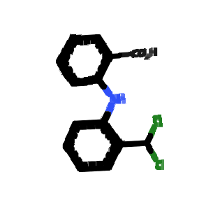 O=C(O)c1ccccc1Nc1ccccc1C(Cl)Cl